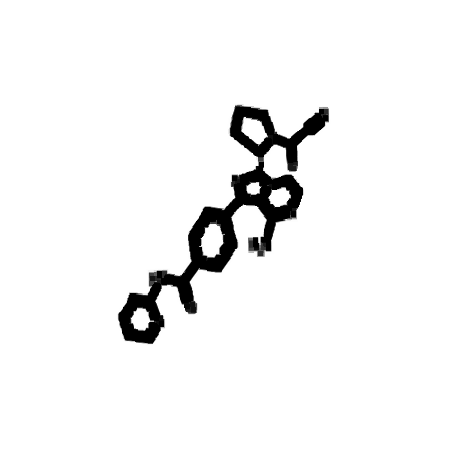 N#CC(=O)N1CCC[C@H]1c1nc(-c2ccc(C(=O)Nc3ccccn3)cc2)c2c(N)nccn12